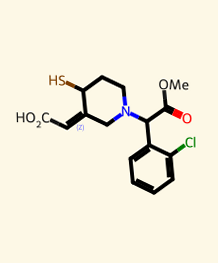 COC(=O)C(c1ccccc1Cl)N1CCC(S)/C(=C\C(=O)O)C1